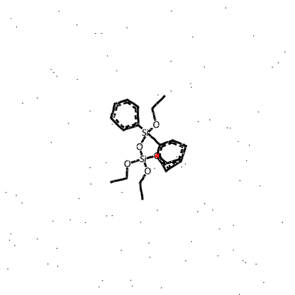 CCO[Si](OCC)(OCC)O[Si](OCC)(c1ccccc1)c1ccccc1